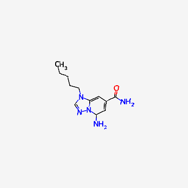 CCCCCN1C=NN2C1=CC(C(N)=O)=CC2N